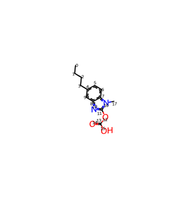 CCCCc1ccc2c(c1)nc(OC(=O)O)n2C